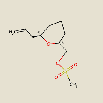 C=CC[C@H]1CCC[C@H](COS(C)(=O)=O)O1